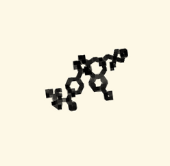 CC1(C(=O)N2CCC(c3nnc4n3-c3ccc(Cl)cc3CN(CC3(F)COC3)C4)CC2)CC1